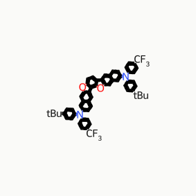 CC(C)(C)c1ccc(N(c2ccc(C(F)(F)F)cc2)c2ccc3cc4c(cc3c2)oc2c4ccc3oc4cc5cc(N(c6ccc(C(C)(C)C)cc6)c6ccc(C(F)(F)F)cc6)ccc5cc4c32)cc1